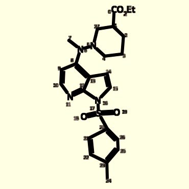 CCOC(=O)C1CCCN(N(C)c2ccnc3c2ccn3S(=O)(=O)c2ccc(C)cc2)C1